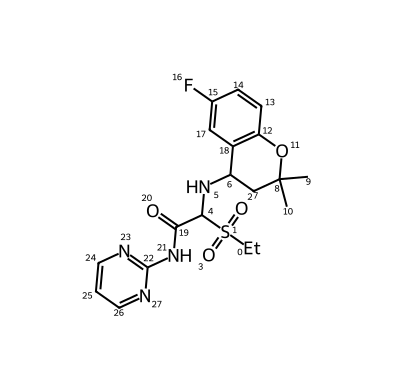 CCS(=O)(=O)C(NC1CC(C)(C)Oc2ccc(F)cc21)C(=O)Nc1ncccn1